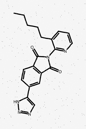 CCCCCc1cccnc1N1C(=O)c2ccc(-c3cnn[nH]3)cc2C1=O